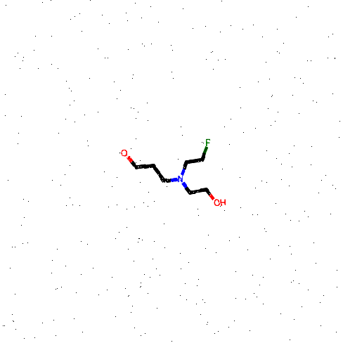 [O]CCCN(CCO)CCF